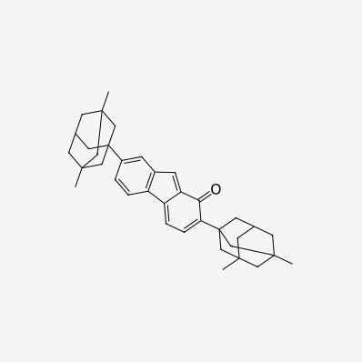 CC12CC3CC(C)(C1)CC(C1=CC=C4C(=Cc5cc(C67CC8CC(C)(CC(C)(C8)C6)C7)ccc54)C1=O)(C3)C2